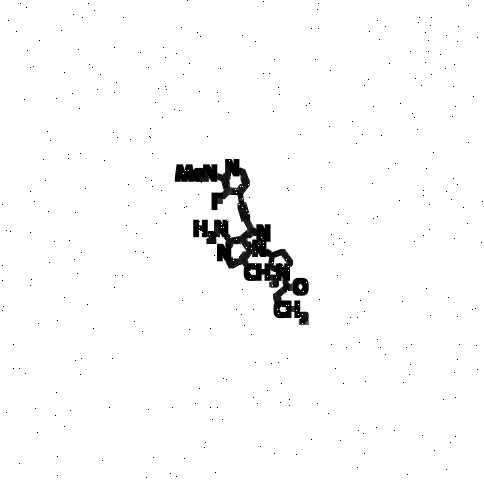 C=CC(=O)N1CC[C@H](n2nc(C#Cc3ccnc(NC)c3F)c3c(N)ncc(C)c32)C1